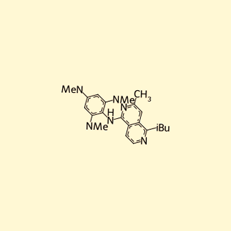 CCC(C)c1nccc2c(Nc3c(NC)cc(NC)cc3NC)nc(C)cc12